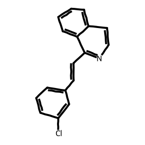 Clc1cccc(C=Cc2nccc3ccccc23)c1